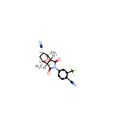 C[C@]12O[C@](C)(C[C@@H]1C#N)[C@H]1C(=O)N(c3ccc(C#N)c(C(F)(F)F)c3)C(=O)[C@H]12